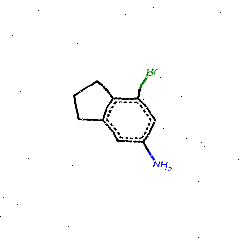 Nc1cc(Br)c2c(c1)CCC2